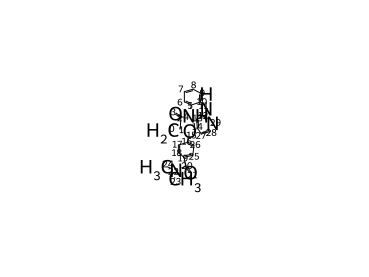 C=CC(=O)Nc1ccccc1Nc1cc(Oc2ccc(C(=O)N(C)C)cc2)ccn1